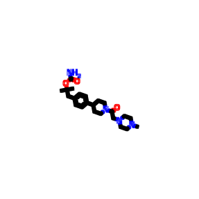 CN1CCN(CC(=O)N2CCC(c3ccc(CC(C)(C)OC(N)=O)cc3)CC2)CC1